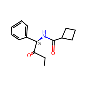 CCC(=O)[C@H](NC(=O)C1CCC1)c1ccccc1